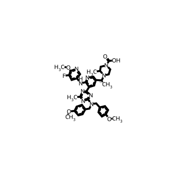 COc1ccc(CN(Cc2ccc(OC)cc2)c2nc(C)nc(-c3cc([C@H](C)N4CCN(C(=O)O)CC4C)cnc3Nc3cnc(OC)c(F)c3)n2)cc1